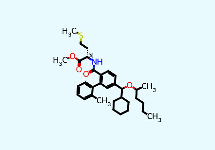 CCCCC(C)OC(c1ccc(C(=O)N[C@@H](CCSC)C(=O)OC)c(-c2ccccc2C)c1)C1CCCCC1